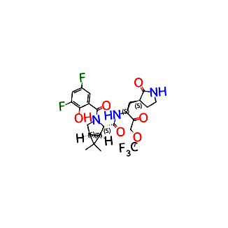 CC1(C)[C@@H]2[C@@H](C(=O)N[C@@H](C[C@@H]3CCNC3=O)C(=O)COC(F)(F)F)N(C(=O)c3cc(F)cc(F)c3O)C[C@@H]21